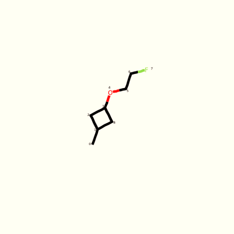 CC1CC(OCCF)C1